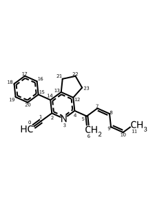 C#Cc1nc(C(=C)/C=C\C=C/C)c2c(c1-c1ccccc1)CCC2